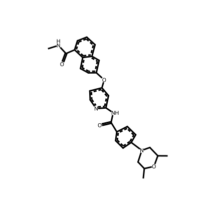 CNC(=O)c1cccc2cc(Oc3ccnc(NC(=O)c4ccc(N5CC(C)OC(C)C5)cc4)c3)ccc12